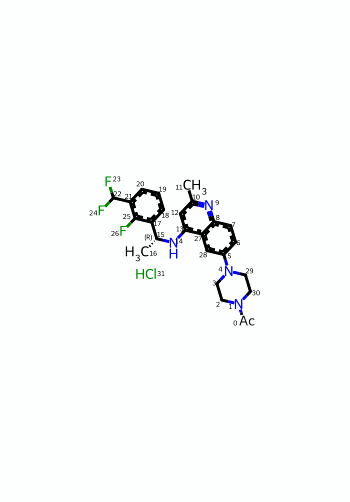 CC(=O)N1CCN(c2ccc3nc(C)cc(N[C@H](C)c4cccc(C(F)F)c4F)c3c2)CC1.Cl